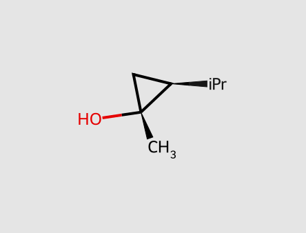 CC(C)[C@@H]1C[C@@]1(C)O